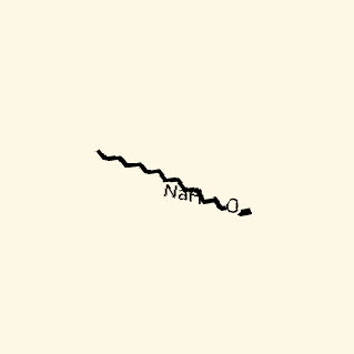 C=COCCCCCCCCCCCCCC.[NaH]